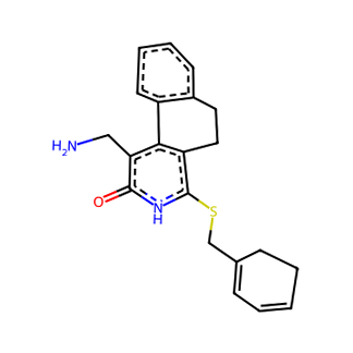 NCc1c2c(c(SCC3=CC=CCC3)[nH]c1=O)CCc1ccccc1-2